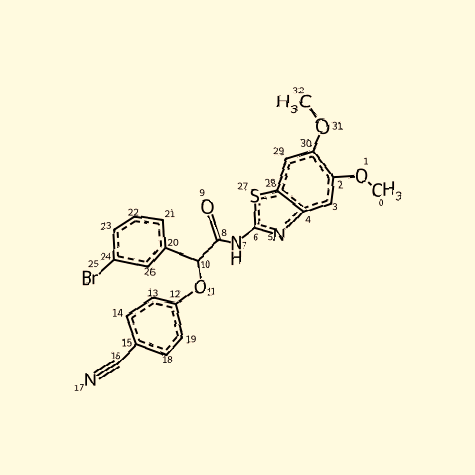 COc1cc2nc(NC(=O)C(Oc3ccc(C#N)cc3)c3cccc(Br)c3)sc2cc1OC